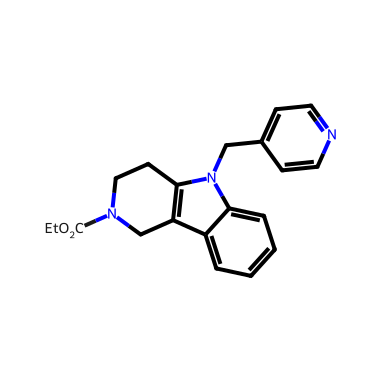 CCOC(=O)N1CCc2c(c3ccccc3n2Cc2ccncc2)C1